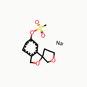 CS(=O)(=O)Oc1ccc2c(c1)C1(CCOC1)OC2.[Na]